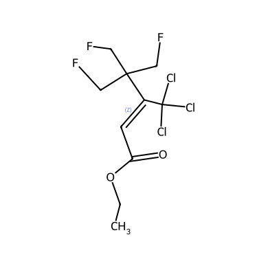 CCOC(=O)/C=C(\C(Cl)(Cl)Cl)C(CF)(CF)CF